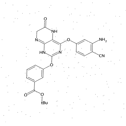 CC(C)(C)OC(=O)c1cccc(OC2=NC(Oc3ccc(C#N)c(N)c3)=C3NC(=O)CN=C3N2)c1